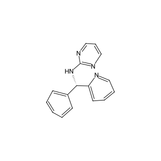 c1ccc([C@H](Nc2ncccn2)c2ccccn2)cc1